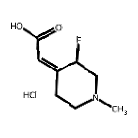 CN1CCC(=CC(=O)O)C(F)C1.Cl